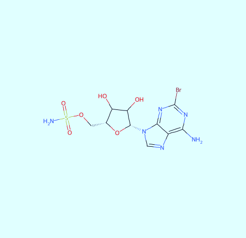 Nc1nc(Br)nc2c1ncn2[C@@H]1O[C@H](COS(N)(=O)=O)C(O)C1O